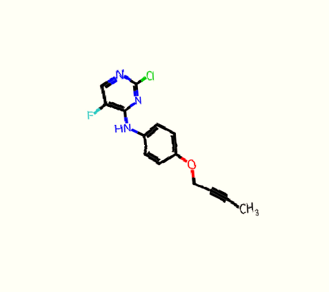 CC#CCOc1ccc(Nc2nc(Cl)ncc2F)cc1